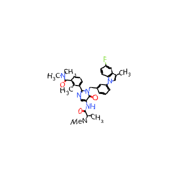 CNC(C)C(=O)Nc1cnc(-c2cccc(C(=O)N(C)C)c2C)n(Cc2cccc(-n3cc(C)c4cc(F)ccc43)c2)c1=O